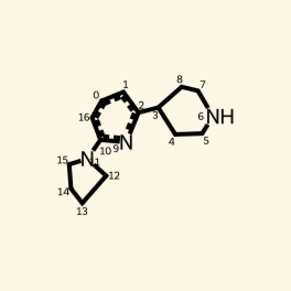 c1cc(C2CCNCC2)nc(N2CCCC2)c1